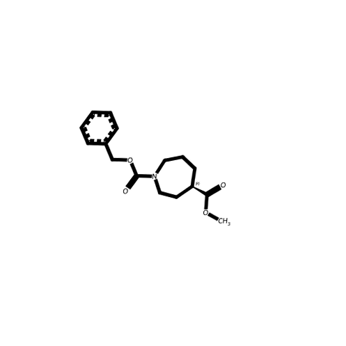 COC(=O)[C@@H]1CCCN(C(=O)OCc2ccccc2)CC1